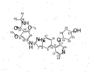 COc1cc(Nc2cc3cc(-c4cc(C)ncc4OC4CCC(O)CC4)ccn3n2)cc(OC)c1C(=O)NC(C)C